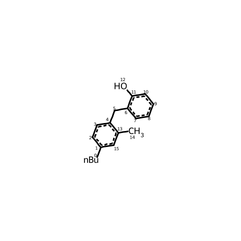 CCCCc1ccc(Cc2ccccc2O)c(C)c1